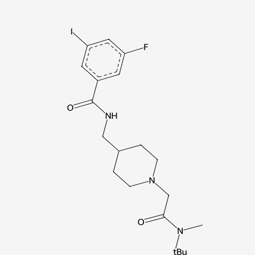 CN(C(=O)CN1CCC(CNC(=O)c2cc(F)cc(I)c2)CC1)C(C)(C)C